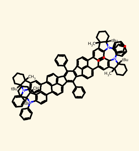 CC(C)(C)C12CCCCC1(C)c1cc(-c3ccc4c5c(-c6ccccc6)c6c7ccc(-c8ccc9c(c8)C8(C)CCCCC8(C(C)(C)C)N9c8ccccc8)c8c(-c9ccc%10c(c9)C9(C)CCCCC9(C(C)(C)C)N%10c9ccccc9)ccc(c6c(-c6ccccc6)c5c5ccc(-c6ccc9c(c6)C6(C)CCCCC6(C(C)(C)C)N9c6ccccc6)c3c45)c87)ccc1N2c1ccccc1